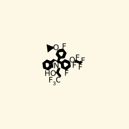 O[C@@H](CN[C@@](Cc1ccccc1)(c1cc(F)cc(OC(F)(F)C(F)F)c1)c1ccc(F)c(OC2CC2)c1)CC(F)(F)F